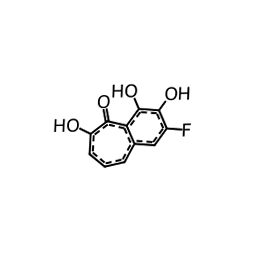 O=c1c(O)cccc2cc(F)c(O)c(O)c12